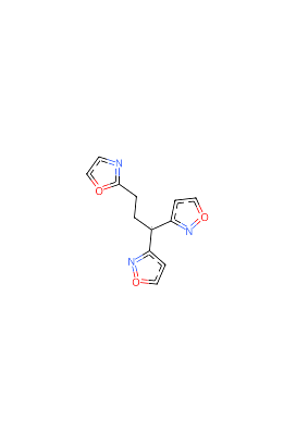 c1coc(CC[C](c2ccon2)c2ccon2)n1